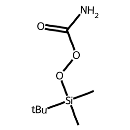 CC(C)(C)[Si](C)(C)OOC(N)=O